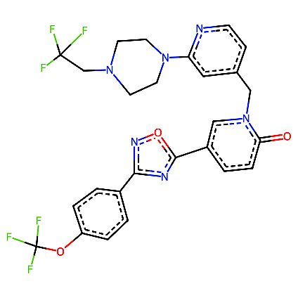 O=c1ccc(-c2nc(-c3ccc(OC(F)(F)F)cc3)no2)cn1Cc1ccnc(N2CCN(CC(F)(F)F)CC2)c1